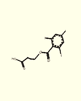 O=C(O)CCOC(=O)c1c(I)cc(I)cc1I